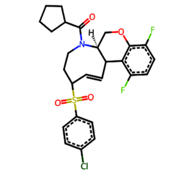 O=C(C1CCCC1)N1CCC(S(=O)(=O)c2ccc(Cl)cc2)/C=C/C2c3c(F)ccc(F)c3OC[C@@H]21